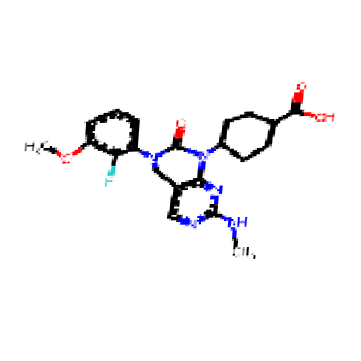 CNc1ncc2c(n1)N(C1CCC(C(=O)O)CC1)C(=O)N(c1cccc(OC)c1F)C2